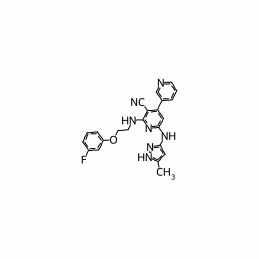 Cc1cc(Nc2cc(-c3cccnc3)c(C#N)c(NCCOc3cccc(F)c3)n2)n[nH]1